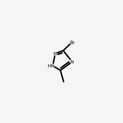 Cc1nc(Br)n[nH]1